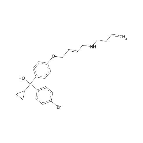 C=CCCNCC=CCOc1ccc(C(O)(c2ccc(Br)cc2)C2CC2)cc1